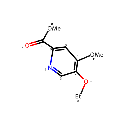 CCOc1cnc(C(=O)OC)cc1OC